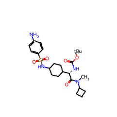 CN(C(=O)[C@@H](NC(=O)OC(C)(C)C)C1CCC(NS(=O)(=O)c2ccc(N)cc2)CC1)C1CCC1